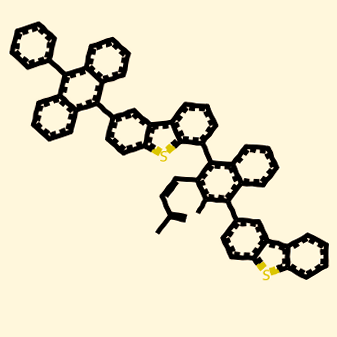 C=C(C)/C=C\c1c(C)c(-c2ccc3sc4ccccc4c3c2)c2ccccc2c1-c1cccc2c1sc1ccc(-c3c4ccccc4c(-c4ccccc4)c4ccccc34)cc12